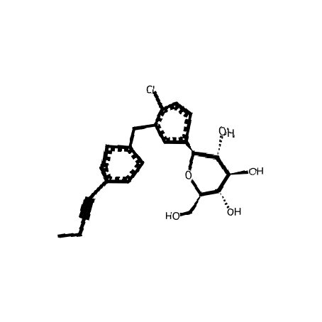 CCC#Cc1ccc(Cc2cc([C@@H]3O[C@H](CO)[C@@H](O)[C@H](O)[C@H]3O)ccc2Cl)cc1